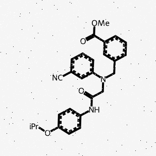 COC(=O)c1cccc(CN(CC(=O)Nc2ccc(OC(C)C)cc2)c2cccc(C#N)c2)c1